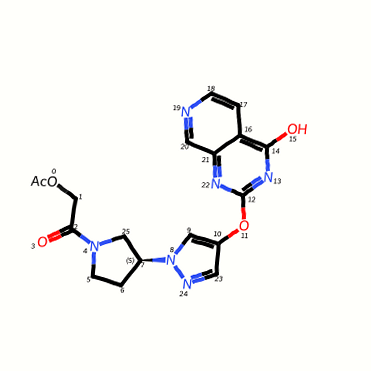 CC(=O)OCC(=O)N1CC[C@H](n2cc(Oc3nc(O)c4ccncc4n3)cn2)C1